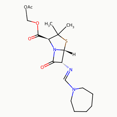 CC(=O)OCOC(=O)[C@@H]1N2C(=O)[C@@H](N=CN3CCCCCC3)[C@H]2SC1(C)C